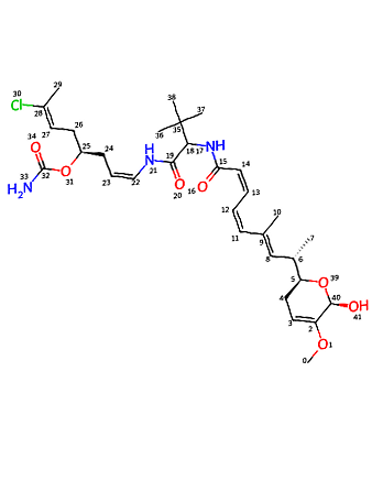 COC1=CC[C@@H]([C@@H](C)/C=C(C)/C=C\C=C/C(=O)NC(C(=O)N/C=C\C[C@H](C/C=C(\C)Cl)OC(N)=O)C(C)(C)C)O[C@H]1O